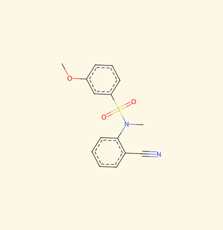 COc1cccc(S(=O)(=O)N(C)c2ccccc2C#N)c1